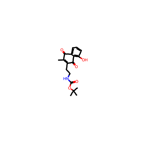 CC1=C(CCNC(=O)OC(C)(C)C)C(=O)c2c(O)cccc2C1=O